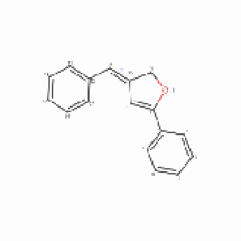 C1=C(c2ccccc2)OC/C1=C/c1ccccc1